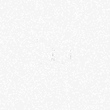 CCCCC.Cc1ccccn1